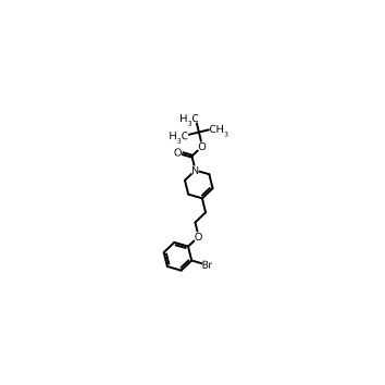 CC(C)(C)OC(=O)N1CC=C(CCOc2ccccc2Br)CC1